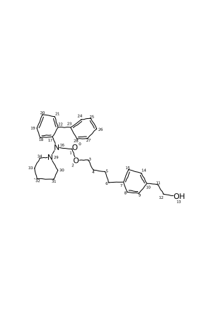 O=C(OCCCCc1ccc(CCO)cc1)N(c1ccccc1-c1ccccc1)N1CC[CH]CC1